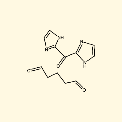 O=C(c1ncc[nH]1)c1ncc[nH]1.O=CCCCC=O